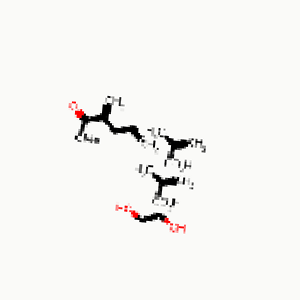 C=C(C)C(=O)O.C=C(C)C(=O)O.C=CCC(=C)C(=O)OC.OCCO